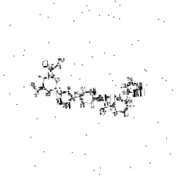 C=CC(=O)N1CC(n2cc(-c3ccc(NC(=O)c4cccc(-c5ccn[nH]5)n4)nc3)nn2)CC2(CC2)C1